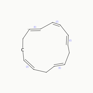 [C]1=C/C=C\C=C\C/C=C/C/C=C\CC/1